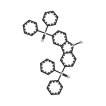 CCn1c2ccc(P(=O)(c3ccccc3)c3ccccc3)cc2c2cc(P(=O)(c3ccccc3)c3ccccc3)ccc21